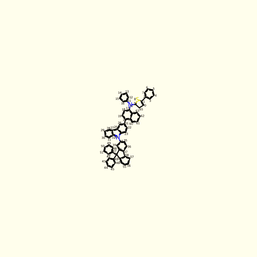 C1=C(c2ccccc2)SC(N(c2ccccc2)c2ccc(-c3ccc4c(c3)c3ccccc3n4-c3ccc4c(c3)C(c3ccccc3)(c3ccccc3)c3ccccc3-4)c3ccccc23)C1